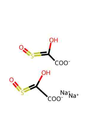 O=S=C(O)C(=O)[O-].O=S=C(O)C(=O)[O-].[Na+].[Na+]